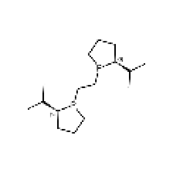 CC(C)[C@@H]1CCCP1CCP1CCC[C@H]1C(C)C